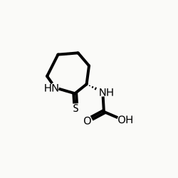 O=C(O)N[C@H]1CCCCNC1=S